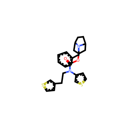 O=C(OC1CC2CCC(C1)N2Cc1ccccc1)N(CCc1ccsc1)c1ccsc1